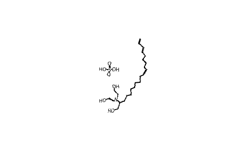 CCCCCCCC/C=C\CCCCCCCCC(CO)N(CCO)CCO.O=S(=O)(O)O